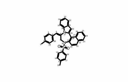 Cc1ccc(C=C2CN(S(=O)(=O)c3ccc(C)cc3)c3ccc4ccccc4c3-c3cc4ccccc4n32)cc1